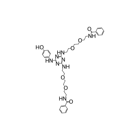 O=C(NCCOCCOCCNc1nc(NCCOCCOCCNC(=O)c2ccccc2)nc(Nc2ccc(O)cc2)n1)c1ccccc1